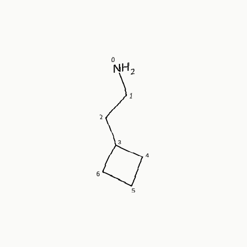 NCCC1CCC1